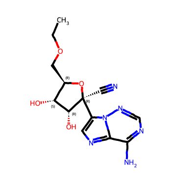 CCOC[C@H]1O[C@@](C#N)(c2cnc3c(N)ncnn23)[C@H](O)[C@@H]1O